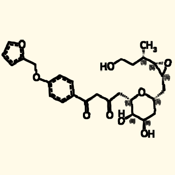 C[C@@H](CCO)[C@@H]1O[C@H]1C[C@@H]1C[C@@H](O)[C@@H](O)[C@H](CC(=O)CC(=O)c2ccc(OCc3ccco3)cc2)O1